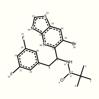 CC(C)(C)[S+]([O-])NC(Cc1cc(F)cc(F)c1)c1nc2ncsc2cc1Br